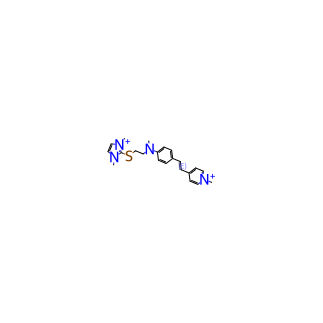 CN(CCSc1n(C)cc[n+]1C)c1ccc(/C=C/c2cc[n+](C)cc2)cc1